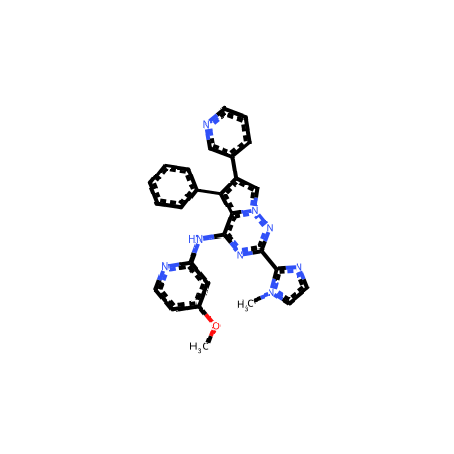 COc1ccnc(Nc2nc(-c3nccn3C)nn3cc(-c4cccnc4)c(-c4ccccc4)c23)c1